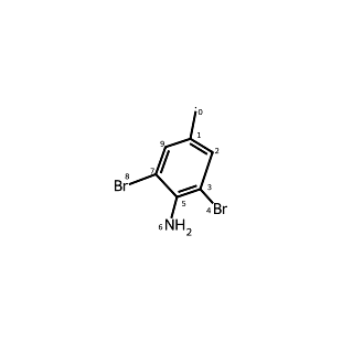 [CH2]c1cc(Br)c(N)c(Br)c1